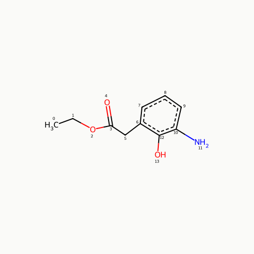 CCOC(=O)Cc1cccc(N)c1O